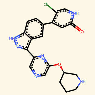 O=c1cc(-c2ccc3[nH]nc(-c4cncc(O[C@@H]5CCCNC5)n4)c3c2)c(Cl)c[nH]1